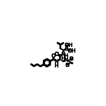 CCCCc1ccc(C(=O)N[C@@H](CNS(C)(=O)=O)C(=O)N[C@@H](CC(C)C)B(O)O)cc1